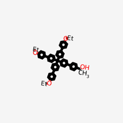 CCOc1ccc(-c2ccc(C(c3ccc(-c4ccc(OCC)cc4)cc3)(c3ccc(-c4ccc(OCC)cc4)cc3)c3ccc(-c4ccc(C(C)O)cc4)cc3)cc2)cc1